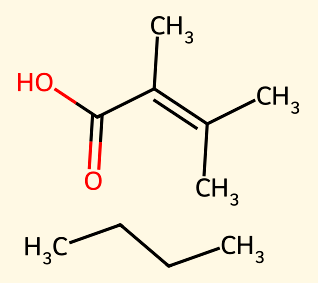 CC(C)=C(C)C(=O)O.CCCC